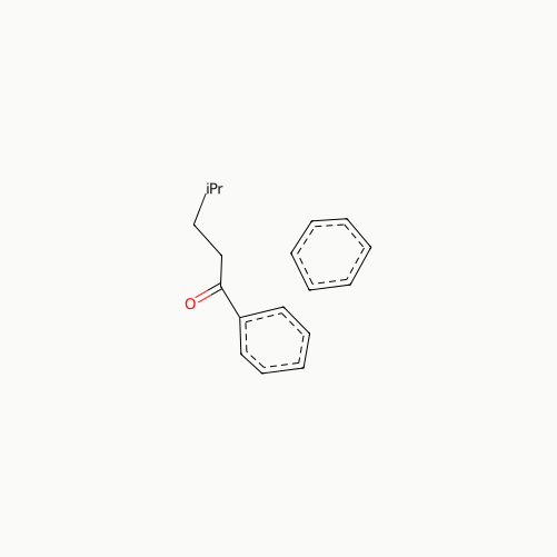 CC(C)CCC(=O)c1ccccc1.c1ccccc1